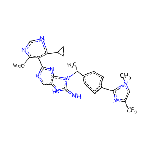 COc1ncnc(C2CC2)c1-c1ncc2[nH]c(=N)n([C@H](C)c3ccc(-c4nc(C(F)(F)F)cn4C)cc3)c2n1